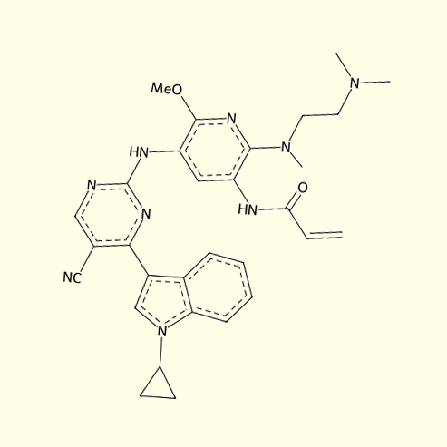 C=CC(=O)Nc1cc(Nc2ncc(C#N)c(-c3cn(C4CC4)c4ccccc34)n2)c(OC)nc1N(C)CCN(C)C